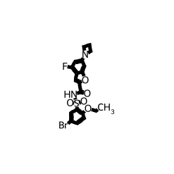 CCOc1ccc(Br)cc1S(=O)(=O)NC(=O)c1cc2c(F)cc(N3CCC3)cc2o1